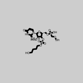 C=C1NC(=O)C=CN1[C@@H]1O[C@H](COP(=O)(O)COCCC)C(OP(=O)(O)OCCCCO)[C@@H]1OC